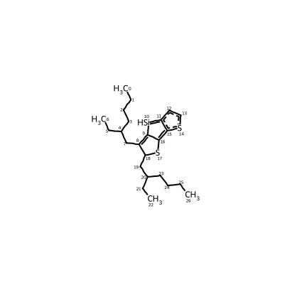 CCCCC(CC)CC1=C2[SiH]=c3ccsc3=C2SC1CC(CC)CCCC